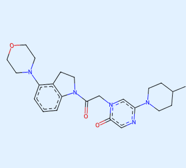 CC1CCN(c2cn(CC(=O)N3CCc4c(N5CCOCC5)cccc43)c(=O)cn2)CC1